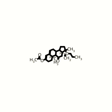 C=C[C@]12CC(=O)C3C(CC=C4C=C(OC(C)=O)CC[C@@]43C)C1CCC2(C)OCCC